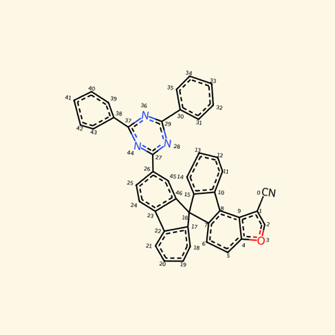 N#Cc1coc2ccc3c(c12)-c1ccccc1C31c2ccccc2-c2ccc(-c3nc(-c4ccccc4)nc(-c4ccccc4)n3)cc21